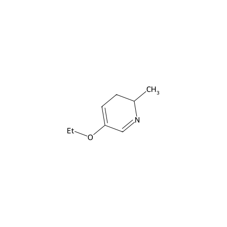 CCOC1=CCC(C)N=C1